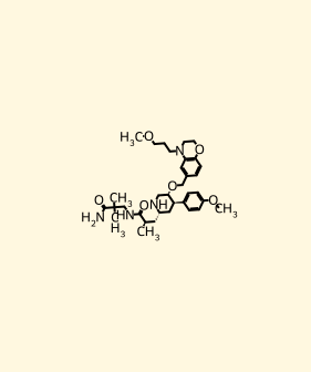 COCCCN1CCOc2ccc(CO[C@H]3CN[C@@H](C[C@@H](C)C(=O)NCC(C)(C)C(N)=O)C[C@@H]3c3ccc(OC)cc3)cc21